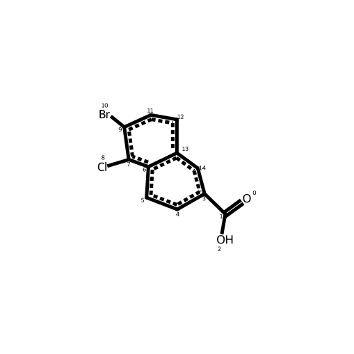 O=C(O)c1ccc2c(Cl)c(Br)ccc2c1